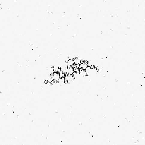 CCC(C)[C@H](NC(=O)[C@H](C)NC(=O)[C@H](CCC=O)NC(C)=O)C(=O)N[C@@H](C)C(N)=O